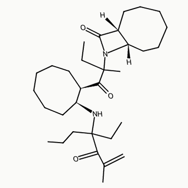 C=C(C)C(=O)C(CC)(CCC)N[C@H]1CCCCCC[C@H]1C(=O)C(C)(CC)N1C(=O)[C@@H]2CCCCCC[C@@H]21